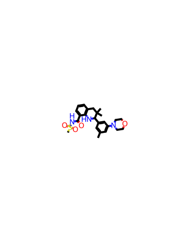 Cc1cc(C2Nc3c(cccc3C(=O)NS(C)(=O)=O)CC2(C)C)cc(N2CCOCC2)c1